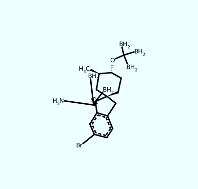 BC(B)(B)O[C@@H]1CC[C@]2(Cc3ccc(Br)cc3[C@]23N=C(N)OC3(B)B)C[C@H]1C